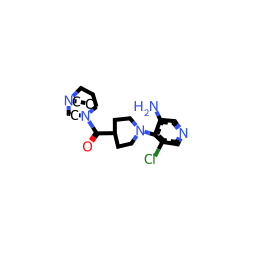 Nc1cncc(Cl)c1N1CCC(C(=O)N2CCN3CCC2CC3)CC1